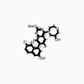 CCc1c(F)ccc2cc(O)cc(-c3c(F)cc4c(N5CCOCC(O)C5)nc(OC)nc4c3F)c12